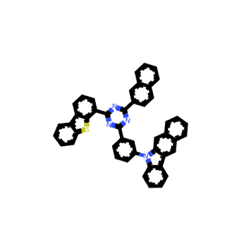 c1cc(-c2nc(-c3ccc4ccccc4c3)nc(-c3cccc4c3sc3ccccc34)n2)cc(-n2c3ccccc3c3cc4ccccc4cc32)c1